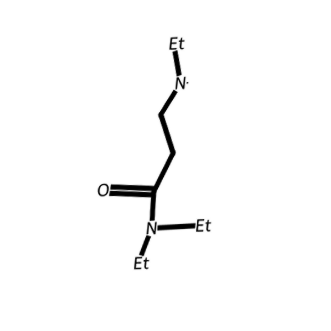 CC[N]CCC(=O)N(CC)CC